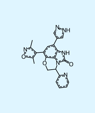 Cc1noc(C)c1-c1cc(-c2cn[nH]c2)c2[nH]c(=O)n3c2c1OCC3c1ccccn1